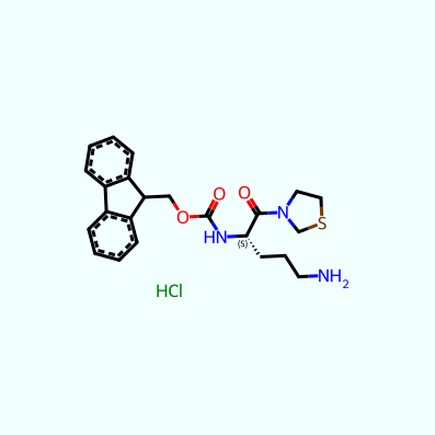 Cl.NCCC[C@H](NC(=O)OCC1c2ccccc2-c2ccccc21)C(=O)N1CCSC1